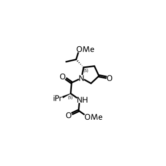 COC(=O)N[C@H](C(=O)N1CC(=O)C[C@H]1C(C)OC)C(C)C